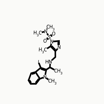 Cc1c(CNC(C)c2c(I)c3ccccc3n2C)ncn1S(=O)(=O)N(C)C